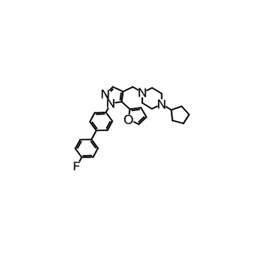 Fc1ccc(-c2ccc(-n3ncc(CN4CCN(C5CCCC5)CC4)c3-c3ccco3)cc2)cc1